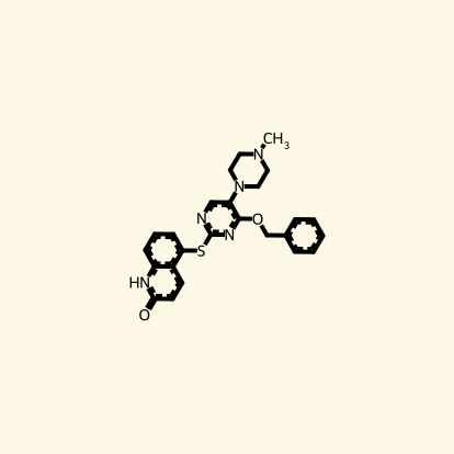 CN1CCN(c2cnc(Sc3cccc4[nH]c(=O)ccc34)nc2OCc2ccccc2)CC1